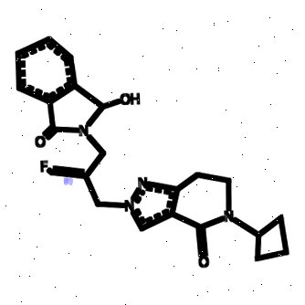 O=C1c2cn(C/C(=C/F)CN3C(=O)c4ccccc4C3O)nc2CCN1C1CCC1